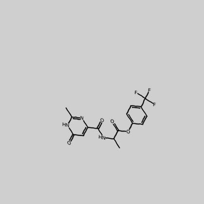 Cc1nc(C(=O)NC(C)C(=O)Oc2ccc(C(F)(F)F)cc2)cc(=O)[nH]1